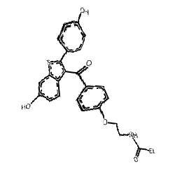 CCC(=O)NCCOc1ccc(C(=O)c2c(-c3ccc(O)cc3)sc3cc(O)ccc23)cc1